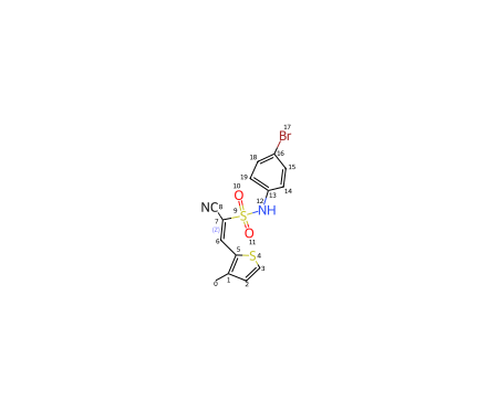 Cc1ccsc1/C=C(/C#N)S(=O)(=O)Nc1ccc(Br)cc1